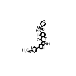 COc1ncc(-c2cnc3[nH]cc(C(=O)c4c(F)ccc(NS(=O)(=O)N5CCOCC5)c4F)c3c2)cn1